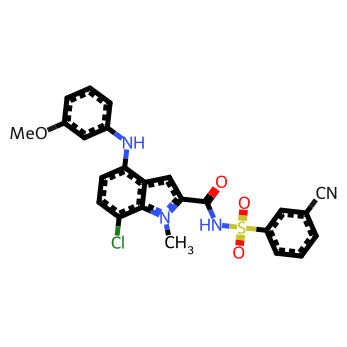 COc1cccc(Nc2ccc(Cl)c3c2cc(C(=O)NS(=O)(=O)c2cccc(C#N)c2)n3C)c1